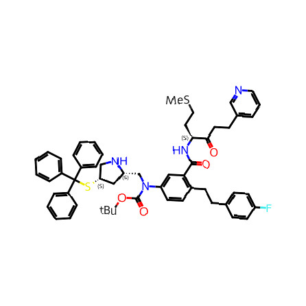 CSCC[C@H](NC(=O)c1cc(N(C[C@@H]2C[C@H](SC(c3ccccc3)(c3ccccc3)c3ccccc3)CN2)C(=O)OC(C)(C)C)ccc1CCc1ccc(F)cc1)C(=O)CCc1cccnc1